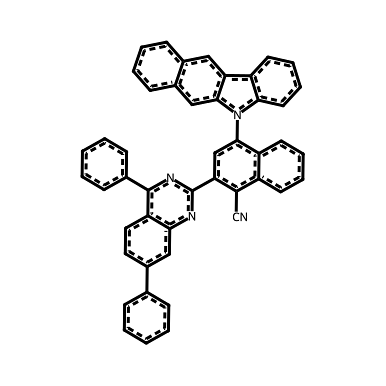 N#Cc1c(-c2nc(-c3ccccc3)c3ccc(-c4ccccc4)cc3n2)cc(-n2c3ccccc3c3cc4ccccc4cc32)c2ccccc12